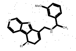 CC[C@@H]1CC=C(CNC(C)c2cccc(OC)c2)c2nc3coccc-3c21